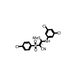 CS/C(Nc1cc(Cl)cc(Cl)c1)=C(/C#N)S(=O)(=O)c1ccc(Cl)cc1